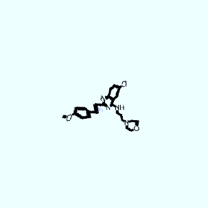 COc1ccc(/C=C/c2nc(NCCCN3CCOCC3)c3cc(Cl)ccc3n2)cc1